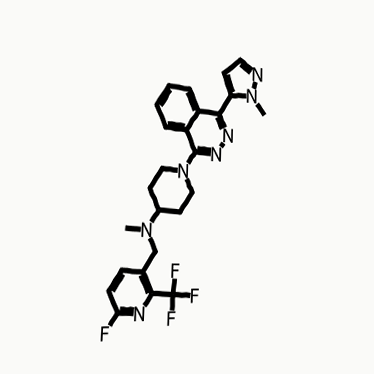 CN(Cc1ccc(F)nc1C(F)(F)F)C1CCN(c2nnc(-c3ccnn3C)c3ccccc23)CC1